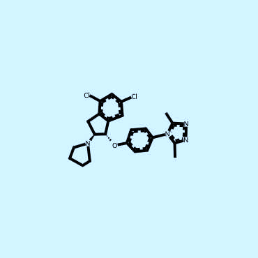 Cc1nnc(C)n1-c1ccc(O[C@H]2c3cc(Cl)cc(Cl)c3C[C@@H]2N2CCCC2)cc1